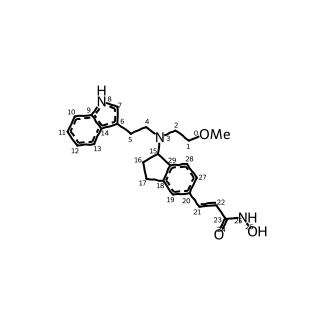 COCCN(CCc1c[nH]c2ccccc12)C1CCc2cc(/C=C/C(=O)NO)ccc21